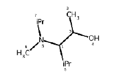 CC(C)C(C(C)O)N(C)C(C)C